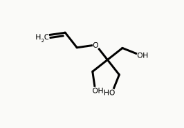 C=CCOC(CO)(CO)CO